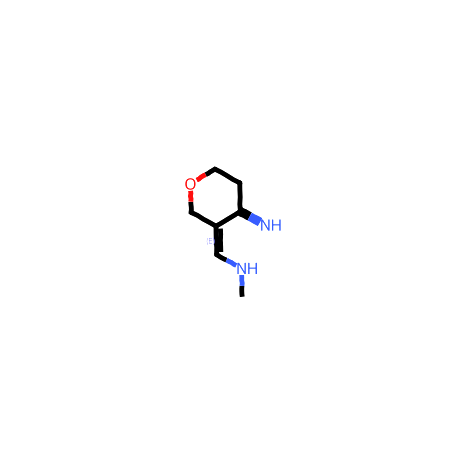 CN/C=C1/COCCC1=N